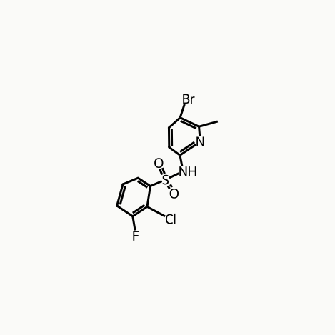 Cc1nc(NS(=O)(=O)c2cccc(F)c2Cl)ccc1Br